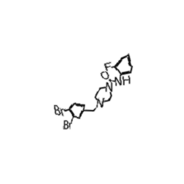 O=C(Nc1ccccc1F)N1CCN(Cc2ccc(Br)c(Br)c2)CC1